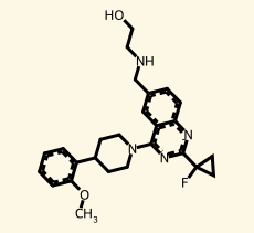 COc1ccccc1C1CCN(c2nc(C3(F)CC3)nc3ccc(CNCCO)cc23)CC1